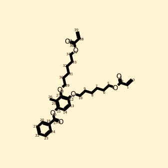 C=CC(=O)OCCCCCCOc1ccc(OC(=O)c2ccccc2)c(C)c1OCCCCCCOC(=O)C=C